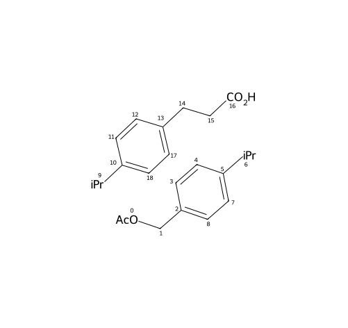 CC(=O)OCc1ccc(C(C)C)cc1.CC(C)c1ccc(CCC(=O)O)cc1